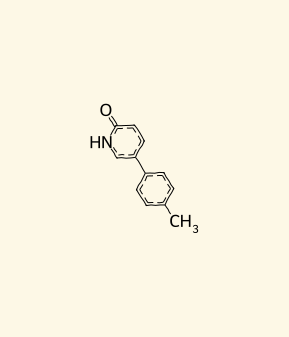 Cc1ccc(-c2ccc(=O)[nH]c2)cc1